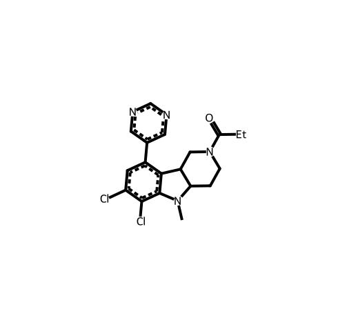 CCC(=O)N1CCC2C(C1)c1c(-c3cncnc3)cc(Cl)c(Cl)c1N2C